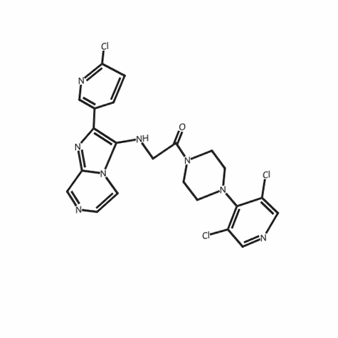 O=C(CNc1c(-c2ccc(Cl)nc2)nc2cnccn12)N1CCN(c2c(Cl)cncc2Cl)CC1